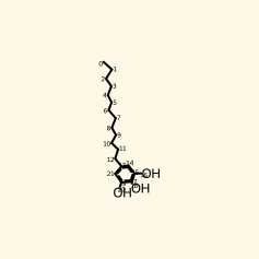 CCCCCCCCCCCCCc1cc(O)c(O)c(O)c1